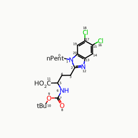 CCCCCn1c(CCC(NC(=O)OC(C)(C)C)C(=O)O)nc2cc(Cl)c(Cl)cc21